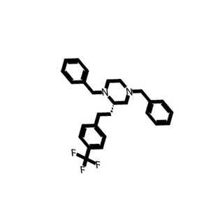 FC(F)(F)c1ccc(CC[C@H]2CN(Cc3ccccc3)CCN2Cc2ccccc2)cc1